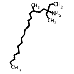 CCCCCCCCCCCCCCC(C)CCC(N)(CC)CC